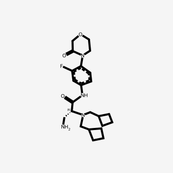 NC[C@H](C(=O)Nc1ccc(N2CCOCC2=O)c(F)c1)N(CC1CCC1)CC1CCC1